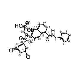 O=C(NCc1ccccc1)c1cccc2cc(N(CP(=O)(O)O)S(=O)(=O)c3cc(Cl)cc(Cl)c3)ccc12